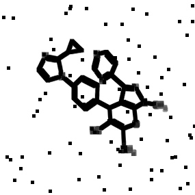 Cn1nc(-c2ccncn2)c2c1OC(N)=C(C#N)C2c1ccc(-n2ccnc2C2CC2)cc1